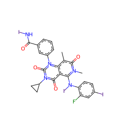 Cc1c(=O)n(C)c(N(I)c2ccc(I)cc2F)c2c(=O)n(C3CC3)c(=O)n(-c3cccc(C(=O)NI)c3)c12